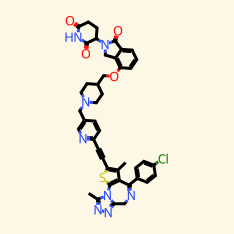 Cc1c(C#Cc2ccc(CN3CCC(COc4cccc5c4CN(C4CCC(=O)NC4=O)C5=O)CC3)cn2)sc2c1C(c1ccc(Cl)cc1)=NCc1nnc(C)n1-2